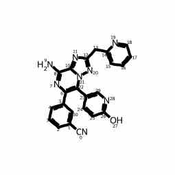 N#Cc1cccc(-c2nc(N)c3nc(Cc4ccccn4)nn3c2-c2ccc(O)nc2)c1